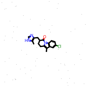 Cc1[nH]cnc1CC1CCc2c(C)c3cc(Cl)ccc3n2C1=O